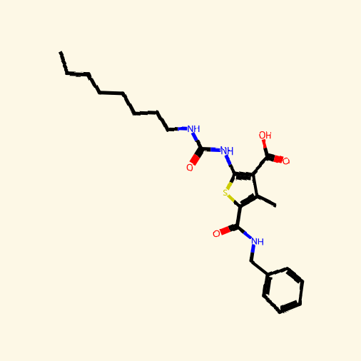 CCCCCCCCNC(=O)Nc1sc(C(=O)NCc2ccccc2)c(C)c1C(=O)O